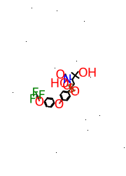 CC(C)(CO)C(CS(=O)(=O)c1ccc(Oc2ccc(OC(F)(F)F)cc2)cc1)N(O)C=O